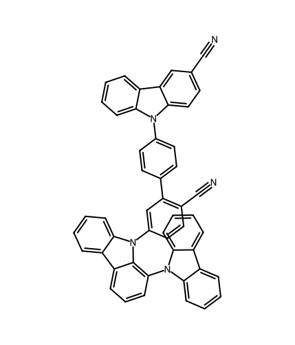 N#Cc1ccc2c(c1)c1ccccc1n2-c1ccc(-c2cc(-n3c4ccccc4c4cccc(-n5c6ccccc6c6ccccc65)c43)ccc2C#N)cc1